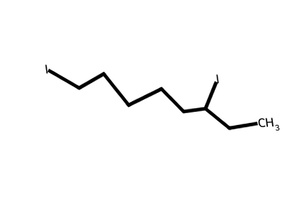 CCC(I)CCCCCI